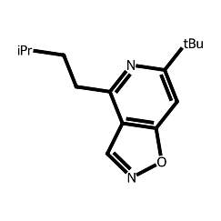 CC(C)CCc1nc(C(C)(C)C)cc2oncc12